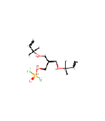 C=CC(C)(C)OCC(COC(C)(C)C=C)COP(=O)(Cl)Cl